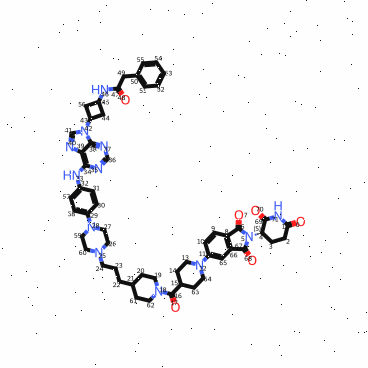 O=C1CC[C@H](N2C(=O)c3ccc(N4CCC(C(=O)N5CCC(CCCN6CCN(c7ccc(Nc8ncnc9c8ncn9C8CC(NC(=O)Cc9ccccc9)C8)cc7)CC6)CC5)CC4)cc3C2=O)C(=O)N1